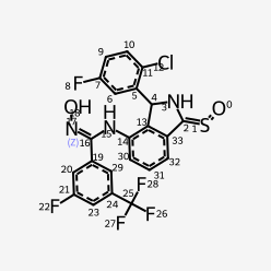 O=S=C1NC(c2cc(F)ccc2Cl)c2c(N/C(=N\O)c3cc(F)cc(C(F)(F)F)c3)cccc21